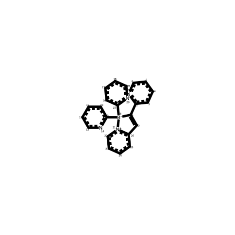 C1=C(c2ccccn2)[B-](c2ccccn2)(c2ccccn2)[n+]2ccccc21